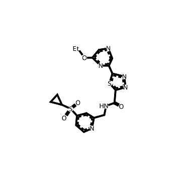 CCOc1cncc(-c2nnc(C(=O)NCc3cc(S(=O)(=O)C4CC4)ccn3)s2)n1